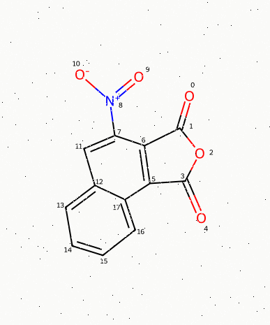 O=C1OC(=O)c2c1c([N+](=O)[O-])cc1ccccc21